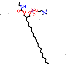 CCCCCCCCCCCCCCCCCCC(COC(=O)NCC)COP(=O)([O-])OCC[N+](C)(C)C